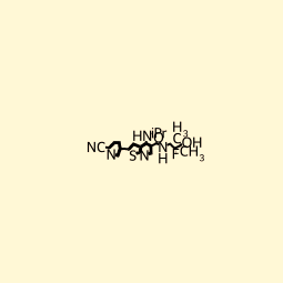 CC(C)Nc1c(C(=O)NC[C@@H](F)C(C)(C)O)cnc2sc(-c3ccc(C#N)nc3)cc12